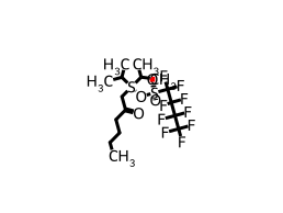 CCCCC(=O)CS(OS(=O)(=O)C(F)(F)C(F)(F)C(F)(F)C(F)(F)F)(C(C)C)C(C)C